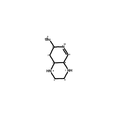 CC(C)(C)C1CC2NCCNC2C=N1